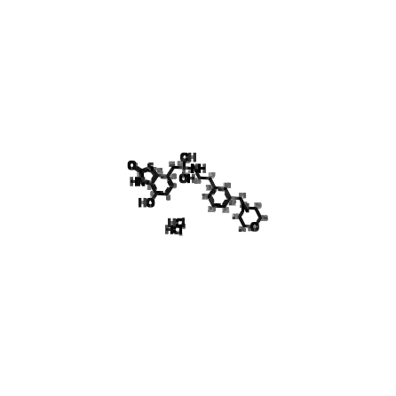 Cl.Cl.O=c1[nH]c2c(O)ccc(CC(O)(O)NCCc3cccc(CN4CCOCC4)c3)c2s1